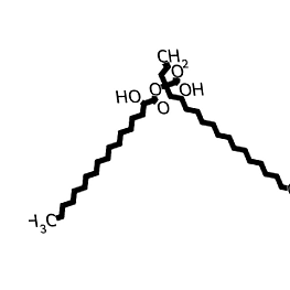 C=CCC(CCCCCCCCCCCCCCCC)(OC(=O)C(O)CCCCCCCCCCCCCCCC)C(=O)O